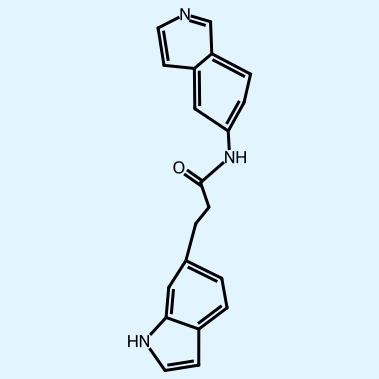 O=C(CCc1ccc2cc[nH]c2c1)Nc1ccc2cnccc2c1